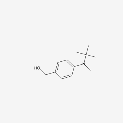 CN(c1ccc(CO)cc1)C(C)(C)C